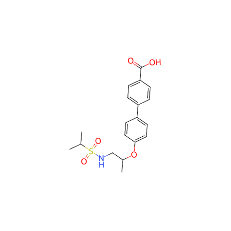 CC(CNS(=O)(=O)C(C)C)Oc1ccc(-c2ccc(C(=O)O)cc2)cc1